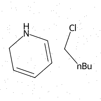 C1=CCNC=C1.CCCCCCl